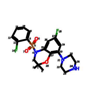 CC1(C)CN(S(=O)(=O)c2ccccc2F)c2cc(F)cc(N3CCNCC3)c2O1